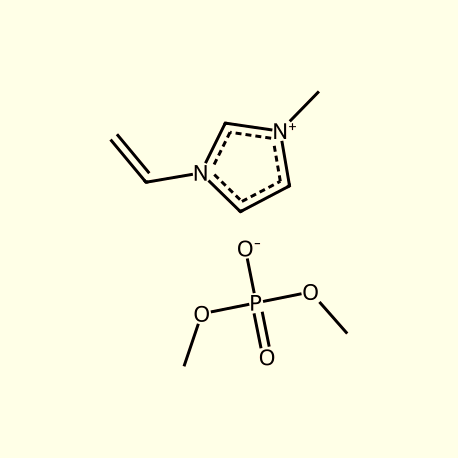 C=Cn1cc[n+](C)c1.COP(=O)([O-])OC